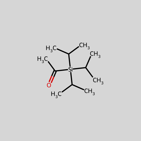 CC(=O)[Si](C(C)C)(C(C)C)C(C)C